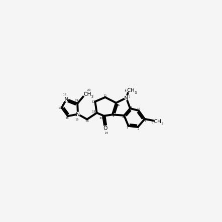 Cc1ccc2c3c(n(C)c2c1)CCC(Cn1ccnc1C)C3=O